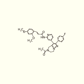 COc1ccc(/C=C/C(=O)Nc2cc(-c3c(-c4ccc(F)cc4)nn4c3CN(C(C)=O)CC4)ccn2)c(OC)c1